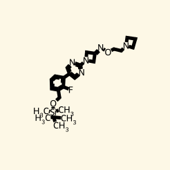 CC(C)(C)[Si](C)(C)OCc1cccc(-c2cnc(N3CC(=NOCCN4CCC4)C3)nc2)c1F